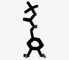 CC(C)(C)OC(=O)NCc1ccc(N)c(N)c1